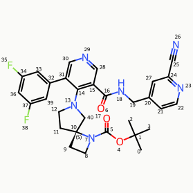 CC(C)(C)OC(=O)N1CC[C@]12CCN(c1c(C(=O)NCc3ccnc(C#N)c3)cncc1-c1cc(F)cc(F)c1)C2